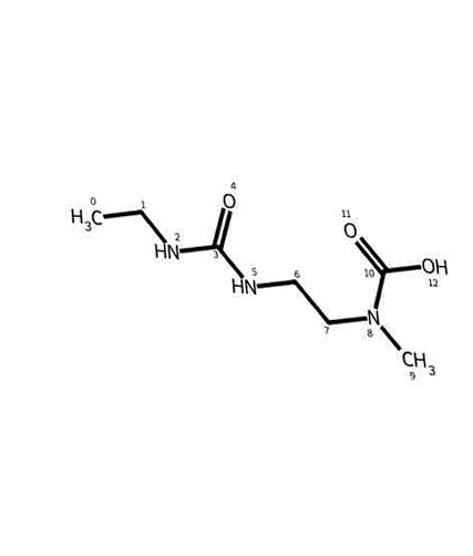 CCNC(=O)NCCN(C)C(=O)O